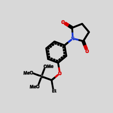 CCC(Oc1cccc(N2C(=O)CCC2=O)c1)[Si](OC)(OC)OC